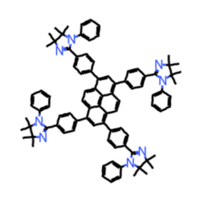 CC1(C)N=C(c2ccc(-c3cc(-c4ccc(C5=NC(C)(C)C(C)(C)N5c5ccccc5)cc4)c4ccc5c(-c6ccc(C7=NC(C)(C)C(C)(C)N7c7ccccc7)cc6)cc(-c6ccc(C7=NC(C)(C)C(C)(C)N7c7ccccc7)cc6)c6ccc3c4c65)cc2)N(c2ccccc2)C1(C)C